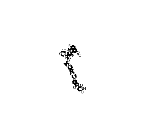 CCc1c(F)ccc2cc(OCOC)cc(-c3ncc4c(N5CCOC[C@@](C)(O)C5)nc(OCC5(CN6CCC7(CC6)CC(F)(CN6CCN(c8ccc9c(c8)CN([C@@H]8CCC(=O)NC8=O)C9=O)CC6)C7)CC5)nc4c3F)c12